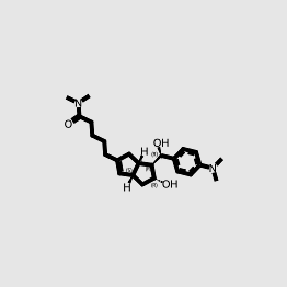 CN(C)C(=O)CCCCC1=C[C@H]2C[C@@H](O)[C@H]([C@@H](O)c3ccc(N(C)C)cc3)[C@H]2C1